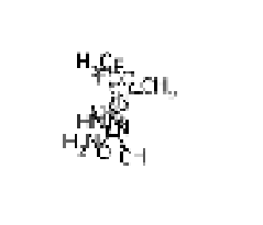 C#Cc1nn([C@H]2C[C@H](COC(C)(F)F)N(C(=O)C=C)C2)c(NC)c1C(N)=O